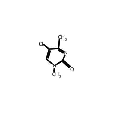 Cc1nc(=O)n(C)cc1Cl